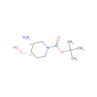 CC(C)(C)OC(=O)N1CC[C@H](CO)[C@H](N)C1